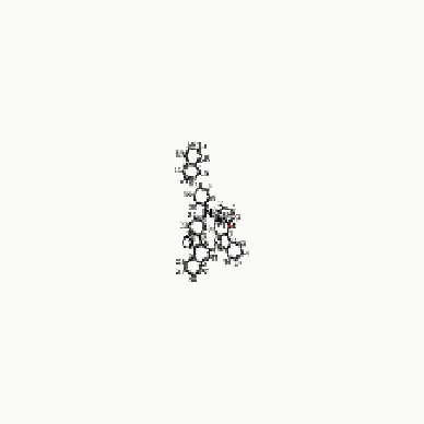 c1ccc(N(c2ccc(-c3ccc4ccccc4c3)cc2)c2ccc3oc4c5ccccc5cc(-n5c6ccccc6c6ccccc65)c4c3c2)cc1